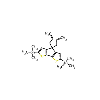 C=CCC1(CC=C)c2c[c]([Sn]([CH3])([CH3])[CH3])sc2-c2s[c]([Sn]([CH3])([CH3])[CH3])cc21